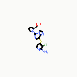 Nc1nccc(Sc2cnc(N3CCC[C@H]3CO)n3ccnc23)c1Cl